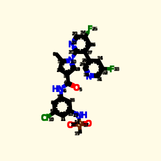 Cc1cc(C(=O)Nc2cc(Cl)cc(NS(C)(=O)=O)c2)cn1-c1ncc(F)cc1-c1cncc(F)c1